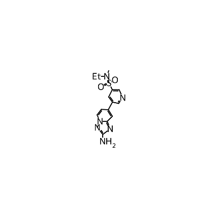 CCN(C)S(=O)(=O)c1cncc(-c2ccn3nc(N)nc3c2)c1